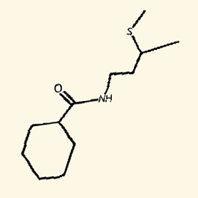 CSC(C)CCNC(=O)C1CCCCC1